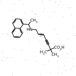 CC(NC/C=C/C#CC(C)(C)C(=O)O)c1cccc2ccccc12